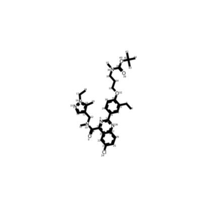 CCc1cc(-c2nc(C(=O)N(C)Cc3cnn(CC)c3C)c3cc(Cl)ccc3n2)ccc1OCCCN(C)C(=O)OC(C)(C)C